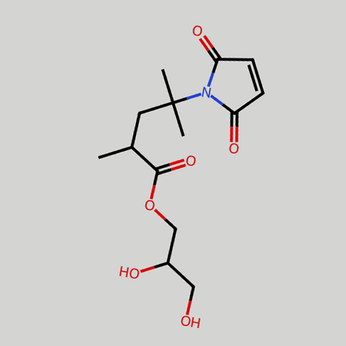 CC(CC(C)(C)N1C(=O)C=CC1=O)C(=O)OCC(O)CO